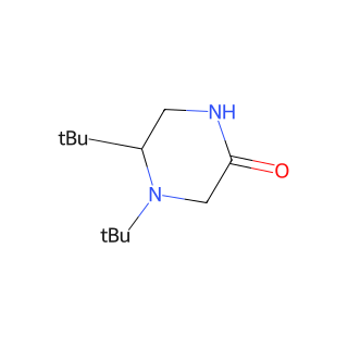 CC(C)(C)C1CNC(=O)CN1C(C)(C)C